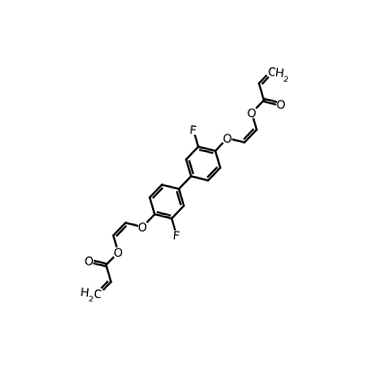 C=CC(=O)O/C=C\Oc1ccc(-c2ccc(O/C=C\OC(=O)C=C)c(F)c2)cc1F